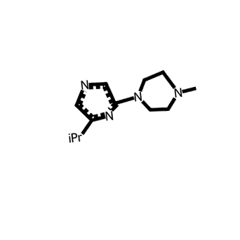 CC(C)c1cncc(N2CCN(C)CC2)n1